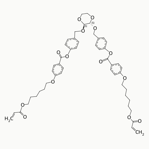 C=CC(=O)OCCCCCCOc1ccc(C(=O)Oc2ccc(CO[C@H]3OCCO[C@@H]3OCc3ccc(OC(=O)c4ccc(OCCCCCCOC(=O)C=C)cc4)cc3)cc2)cc1